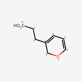 O=C(O)CCC1=CC=COC1